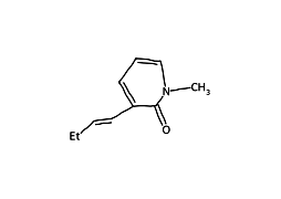 CC/C=C/c1cccn(C)c1=O